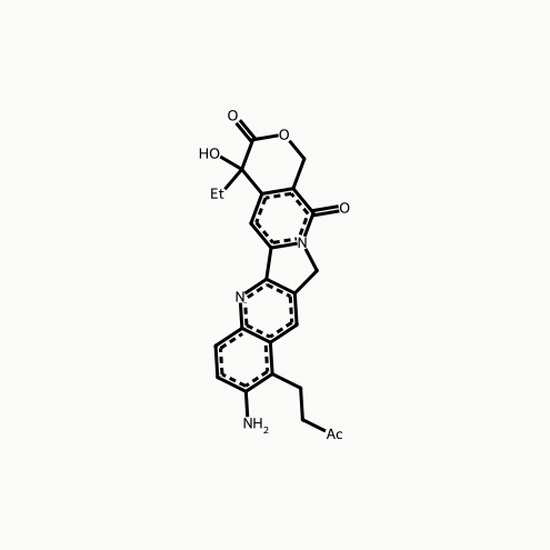 CCC1(O)C(=O)OCc2c1cc1n(c2=O)Cc2cc3c(CCC(C)=O)c(N)ccc3nc2-1